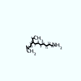 C=NCCC(CC)CCCCCCCN